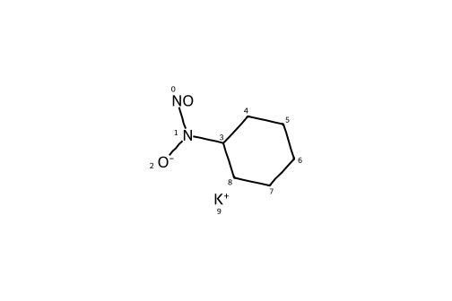 O=NN([O-])C1CCCCC1.[K+]